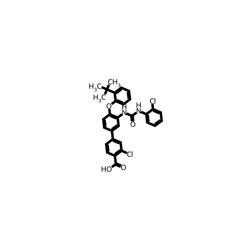 CC(C)(C)c1ccccc1Oc1ccc(-c2ccc(C(=O)O)c(Cl)c2)cc1NC(=O)Nc1ccccc1Cl